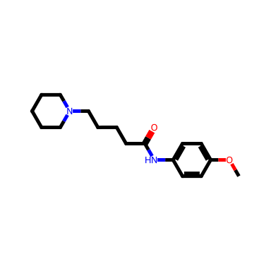 COc1ccc(NC(=O)CCCCN2CCCCC2)cc1